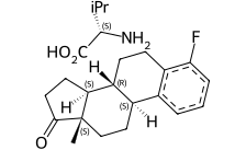 CC(C)[C@H](N)C(=O)O.C[C@]12CC[C@@H]3c4cccc(F)c4CC[C@H]3[C@@H]1CCC2=O